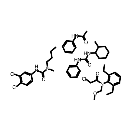 CC(=O)Nc1ccccc1.CC1CCCCC1NC(=O)Nc1ccccc1.CCCCN(C)C(=O)Nc1ccc(Cl)c(Cl)c1.CCc1cccc(CC)c1N(COC)C(=O)CCl